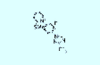 CSc1cccc[n+]1-c1ccc(-n2cnc(C(F)(F)F)n2)nc1.[I-]